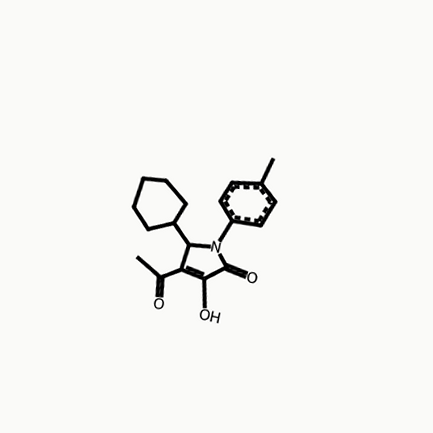 CC(=O)C1=C(O)C(=O)N(c2ccc(C)cc2)C1C1CCCCC1